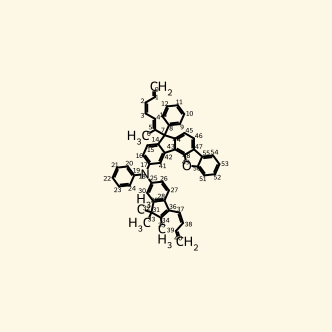 C=C/C=C\C=C(/C)C1(c2ccccc2)c2ccc(N(c3ccccc3)c3ccc4c(c3)C(C)(C)C(C)=C4/C=C\C=C)cc2-c2c1ccc1c2oc2ccccc21